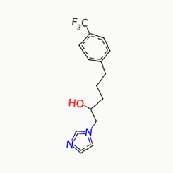 OC(CCCc1ccc(C(F)(F)F)cc1)Cn1ccnc1